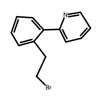 BrCCc1ccccc1-c1ccccn1